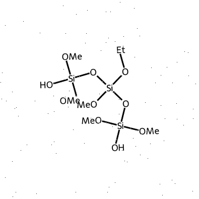 CCO[Si](OC)(O[Si](O)(OC)OC)O[Si](O)(OC)OC